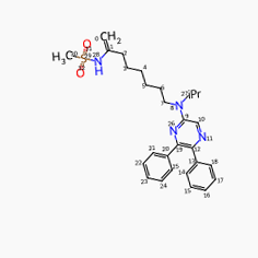 C=C(CCCCCCN(c1cnc(-c2ccccc2)c(-c2ccccc2)n1)C(C)C)NS(C)(=O)=O